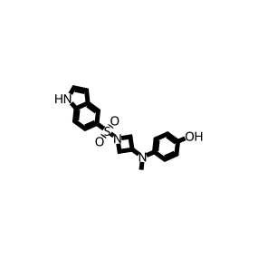 CN(c1ccc(O)cc1)C1CN(S(=O)(=O)c2ccc3[nH]ccc3c2)C1